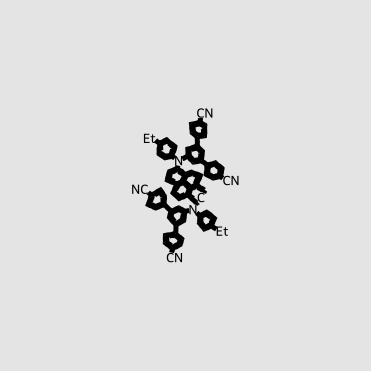 CCc1ccc(N(c2cc(-c3ccc(C#N)cc3)cc(-c3ccc(C#N)cc3)c2)c2ccc3ccc4c(N(c5ccc(CC)cc5)c5cc(-c6ccc(C#N)cc6)cc(-c6ccc(C#N)cc6)c5)ccc5ccc2c3c54)cc1